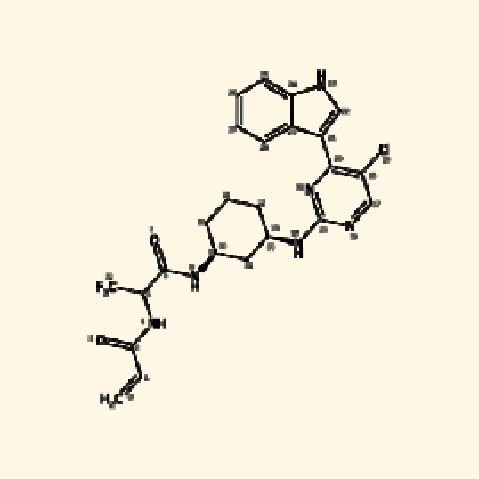 C=CC(=O)NC(C(=O)N[C@H]1CCC[C@@H](Nc2ncc(Cl)c(-c3c[nH]c4ccccc34)n2)C1)C(F)(F)F